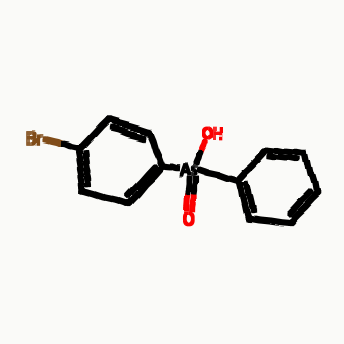 O=[As](O)(c1ccccc1)c1ccc(Br)cc1